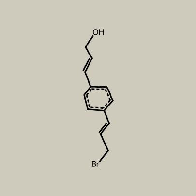 OC/C=C/c1ccc(/C=C/CBr)cc1